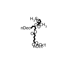 CCCCCCCCCCCCC(CCOC(=O)CCCCC(OCCCCCCCC)OCCCCCCCC)OC(=O)[C@@]1(C)CCN(C)C1